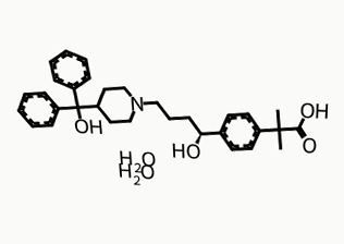 CC(C)(C(=O)O)c1ccc([C@@H](O)CCCN2CCC(C(O)(c3ccccc3)c3ccccc3)CC2)cc1.O.O